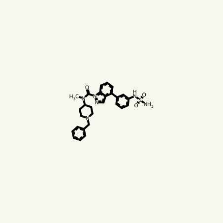 CN(C(=O)n1ncc2c(-c3cccc(NS(N)(=O)=O)c3)cccc21)C1CCN(Cc2ccccc2)CC1